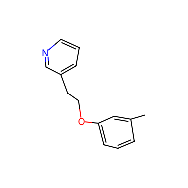 Cc1cccc(OCCc2cccnc2)c1